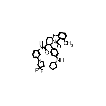 Cc1cccc(F)c1C(=O)N1CCCC(C(=O)Nc2cccc(N3CCC(F)(F)C3)c2)C1c1ccc(NC2CCCC2)cc1